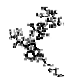 CC(O)CCO.CC=O.CCC(O)CO.CCCCOCCO.CCN(CC)C(=O)[C@@H]1C=C2c3cccc4[nH]cc(c34)C[C@H]2N(C)C1.O.OCCCCO